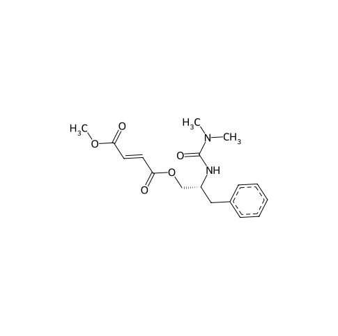 COC(=O)/C=C/C(=O)OC[C@@H](Cc1ccccc1)NC(=O)N(C)C